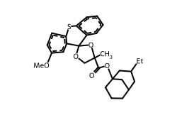 CCC1CC2CCCC(OC(=O)C3(C)COC4(O3)c3ccccc3Sc3ccc(OC)cc34)(C1)C2